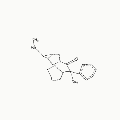 CNC1C2CN(C(=O)C(O)(c3ccccc3)C3CCCC3)CC21